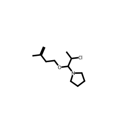 C=C(C)CCOC(C(C)Cl)N1CCCC1